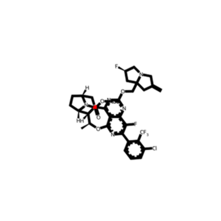 C=C1CN2C[C@H](F)CC2(COc2nc3c4c(nc(-c5cccc(Cl)c5C(F)(F)F)c(F)c4n2)O[C@@H](C)[C@@H]2[C@@H]4CC[C@H](CN32)N4C(=O)OC(C)(C)C)C1